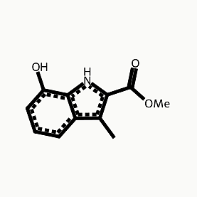 COC(=O)c1[nH]c2c(O)cccc2c1C